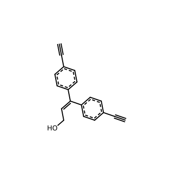 C#Cc1ccc(C(=CCO)c2ccc(C#C)cc2)cc1